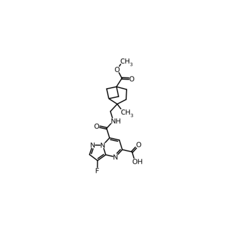 COC(=O)C12CCC(C)(CNC(=O)c3cc(C(=O)O)nc4c(F)cnn34)C(C1)C2